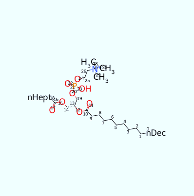 CCCCCCCCCCCCCCCCCCCC(=O)O[C@H](COC(=O)CCCCCCC)COP(=O)(O)OCC[N+](C)(C)C